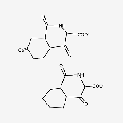 O=C([O-])C1NC(=O)C2CCCCC2C1=O.O=C([O-])C1NC(=O)C2CCCCC2C1=O.[Ca+2]